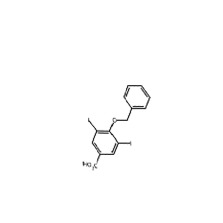 O=C(O)c1cc(I)c(OCc2ccccc2)c(I)c1